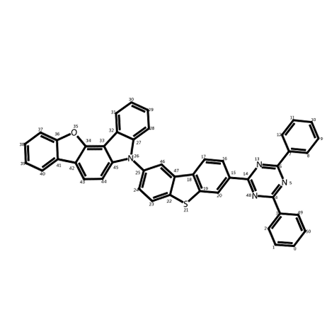 c1ccc(-c2nc(-c3ccccc3)nc(-c3ccc4c(c3)sc3ccc(-n5c6ccccc6c6c7oc8ccccc8c7ccc65)cc34)n2)cc1